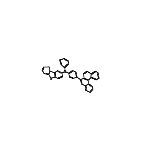 C1=CCC2C(=C1)Sc1ccc(N(c3ccccc3)c3ccc(-c4cc5ccccc5c5c4ccc4ccccc45)cc3)cc12